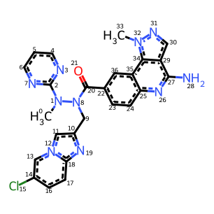 CN(c1ncccn1)N(Cc1cn2cc(Cl)ccc2n1)C(=O)c1ccc2nc(N)c3cnn(C)c3c2c1